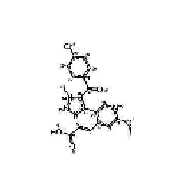 COc1cc(/C=C/C(=O)O)c(-c2cnn(C)c2C(=O)c2ccc(Cl)cc2)cn1